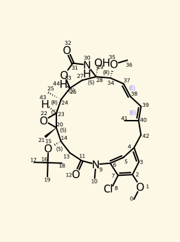 COc1cc2cc(c1Cl)N(C)C(=O)C[C@H](OC(C)(C)C)[C@]1(C)O[C@H]1[C@H](C)[C@@H]1C[C@@](O)(NC(=O)O1)[C@H](OC)/C=C/C=C(\C)C2